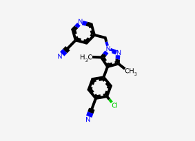 Cc1nn(Cc2cncc(C#N)c2)c(C)c1-c1ccc(C#N)c(Cl)c1